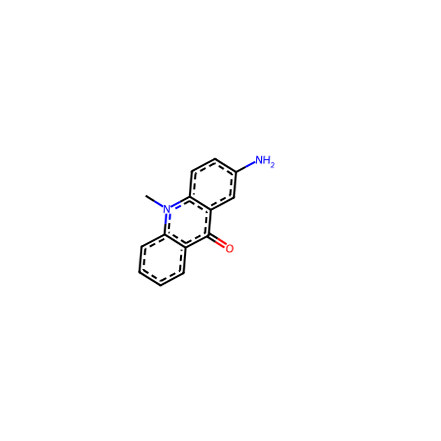 Cn1c2ccccc2c(=O)c2cc(N)ccc21